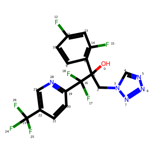 OC(Cn1cnnn1)(c1ccc(F)cc1F)C(F)(F)c1ccc(C(F)(F)F)cn1